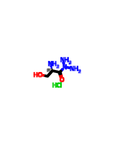 Cl.N[C@@H](CO)C(=O)N(N)N